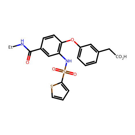 CCNC(=O)c1ccc(Oc2cccc(CC(=O)O)c2)c(NS(=O)(=O)c2cccs2)c1